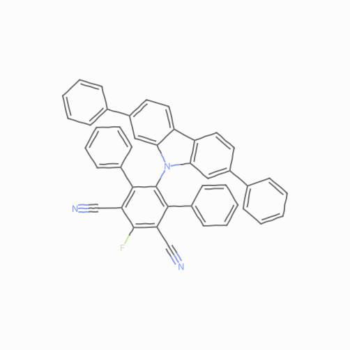 N#Cc1c(F)c(C#N)c(-c2ccccc2)c(-n2c3cc(-c4ccccc4)ccc3c3ccc(-c4ccccc4)cc32)c1-c1ccccc1